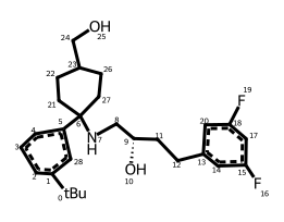 CC(C)(C)c1cccc(C2(NC[C@@H](O)CCc3cc(F)cc(F)c3)CCC(CO)CC2)c1